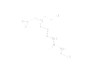 CCCN(CCCNC(=O)NCC)CC1CC1